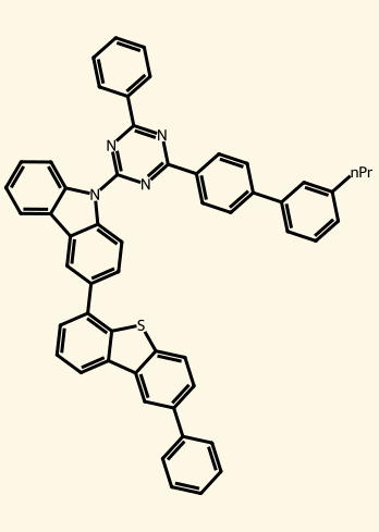 CCCc1cccc(-c2ccc(-c3nc(-c4ccccc4)nc(-n4c5ccccc5c5cc(-c6cccc7c6sc6ccc(-c8ccccc8)cc67)ccc54)n3)cc2)c1